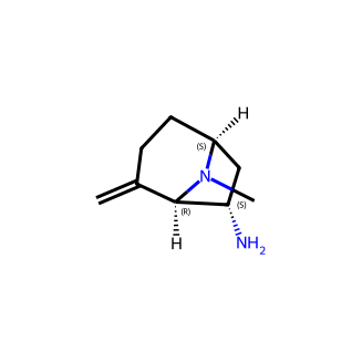 C=C1CC[C@H]2C[C@H](N)[C@@H]1N2C